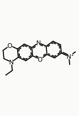 CCN1CCOc2cc3nc4ccc(=[N+](C)C)cc-4oc3cc21